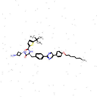 CCCCCCCOc1ccc(-c2cnc(-c3ccc(C[C@H](NC(=O)c4ccc(C(C)(C)C)s4)C(=O)N[C@H]4C[C@H](N)C4)cc3)nc2)cc1